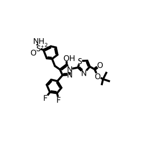 CC(C)(C)OC(=O)c1csc(-n2nc(-c3ccc(F)c(F)c3)c(Cc3cccc([S+](N)[O-])c3)c2O)n1